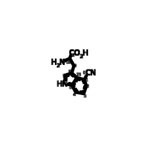 N#Cc1cccc2[nH]cc(CC(N)C(=O)O)c12